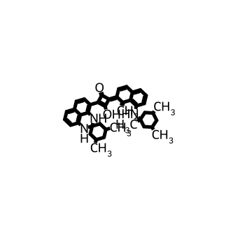 C=c1/c(=C2/C(=O)C(c3ccc4cccc5c4c3NC3(CC(C)CC(C)C3)N5)=C2O)ccc2cccc(NC3(C)CC(C)CC(C)C3)c12